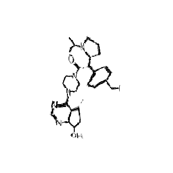 CC(C)N1CCC[C@H]1[C@@H](C(=O)N1CCN(c2ncnc3c2[C@H](C)C[C@H]3O)CC1)c1ccc(CI)cc1